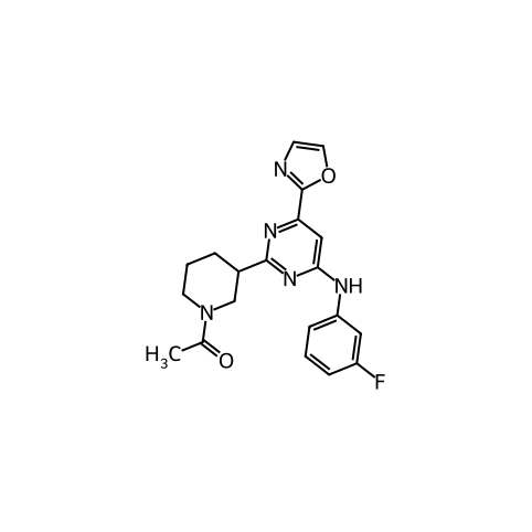 CC(=O)N1CCCC(c2nc(Nc3cccc(F)c3)cc(-c3ncco3)n2)C1